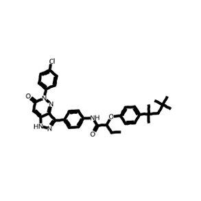 CCC(Oc1ccc(C(C)(C)CC(C)(C)C)cc1)C(=O)Nc1ccc(-c2n[nH]c3cc(=O)n(-c4ccc(Cl)cc4)nc23)cc1